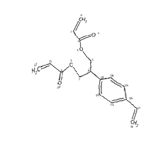 C=CC(=O)OCC(COC(=O)C=C)c1ccc(C=C)cc1